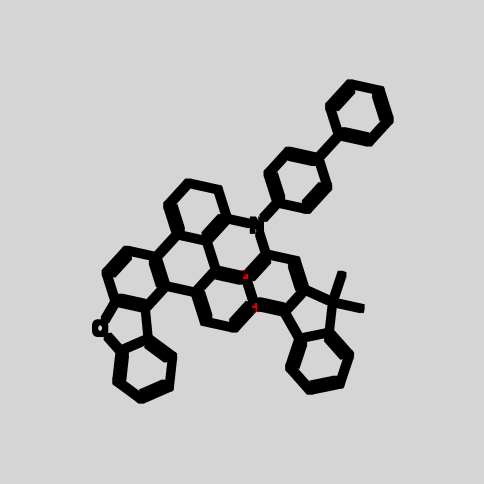 CC1(C)c2ccccc2-c2ccc(N(C3=c4c(c5ccc6oc7ccccc7c6c5c5ccccc45)=CCC3)c3ccc(-c4ccccc4)cc3)cc21